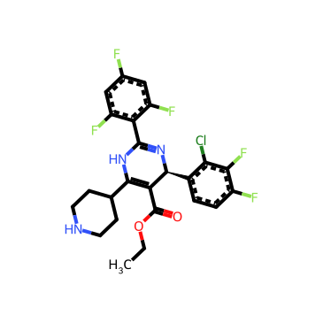 CCOC(=O)C1=C(C2CCNCC2)NC(c2c(F)cc(F)cc2F)=N[C@H]1c1ccc(F)c(F)c1Cl